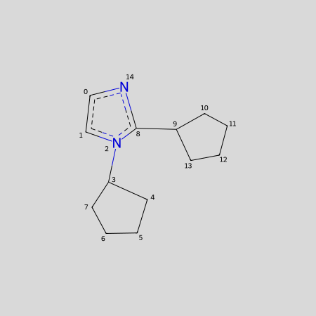 c1cn(C2CCCC2)c(C2CCCC2)n1